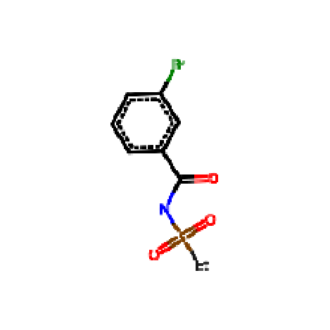 CCS(=O)(=O)[N]C(=O)c1cccc(Br)c1